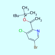 C=C(O[Si](C)(C)C(C)(C)C)c1ncc(Br)cc1Cl